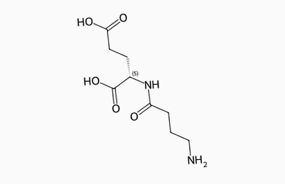 NCCCC(=O)N[C@@H](CCC(=O)O)C(=O)O